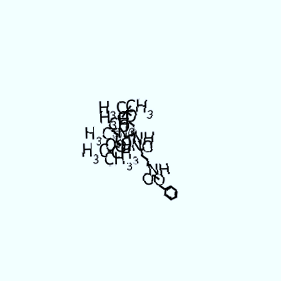 CC(C)[C@H](NC(=O)[C@H](CC(=O)OC(C)(C)C)NNC(=O)CCCNC(=O)OCc1ccccc1)C(=O)OC(C)(C)C